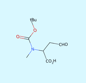 CN(C(=O)OC(C)(C)C)C(CC=O)C(=O)O